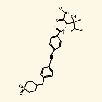 C[C@@](O)(C(F)F)[C@H](NC(=O)c1ccc(C#Cc2ccc(OC3CCS(=O)(=O)CC3)cc2)cc1)C(=O)NO